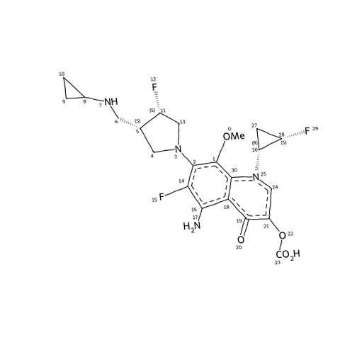 COc1c(N2C[C@H](CNC3CC3)[C@H](F)C2)c(F)c(N)c2c(=O)c(OC(=O)O)cn([C@@H]3C[C@@H]3F)c12